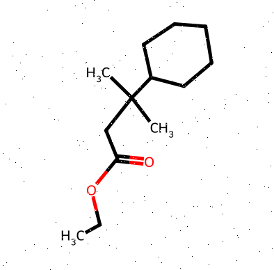 CCOC(=O)CC(C)(C)C1CCCCC1